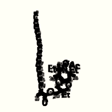 C=C=C=C=C=C=C=C=C=C=C=C=C=C=C=C(C)C(=O)OCC1(CC)COC2(CC(C)(CC)N(OC(C)=O)C(C)(CC)C2C)OC1